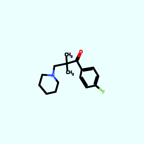 CC(C)(CN1CCCCC1)C(=O)c1ccc(F)cc1